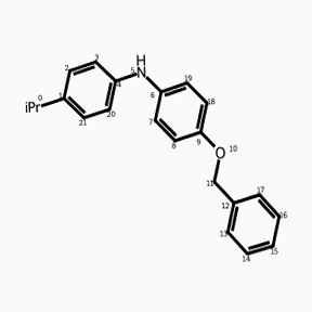 CC(C)c1ccc(Nc2ccc(OCc3ccccc3)cc2)cc1